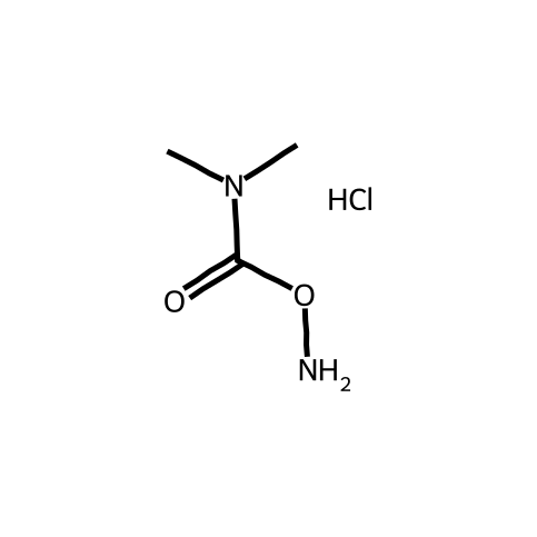 CN(C)C(=O)ON.Cl